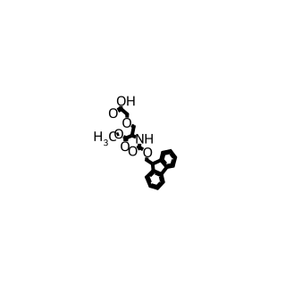 COC(=O)C(COCC(=O)O)NC(=O)OCC1c2ccccc2-c2ccccc21